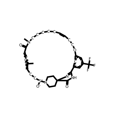 Cc1cc2ccc1CC[S+]([O-])N1CCC3(CC1)N=C(NC3=O)c1cc(cc(C(F)(F)F)c1)OCC/C=C\CCCCCN(C)C2=O